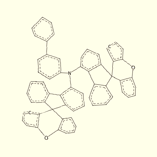 c1ccc(-c2cccc(N(c3cccc4c3-c3ccccc3C43c4ccccc4Oc4ccccc43)c3cccc4c3-c3ccccc3C43c4ccccc4Oc4ccccc43)c2)cc1